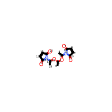 CC(OC(C)N1C(=O)C=CC1=O)OC(C)N1C(=O)C=CC1=O